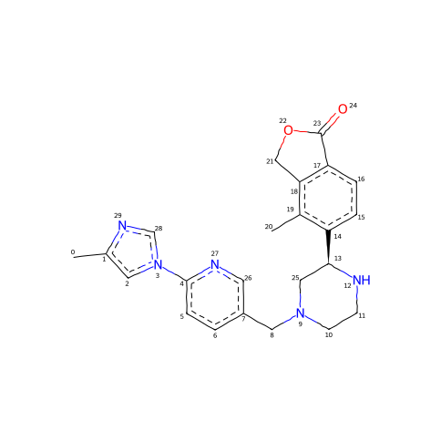 Cc1cn(-c2ccc(CN3CCN[C@H](c4ccc5c(c4C)COC5=O)C3)cn2)cn1